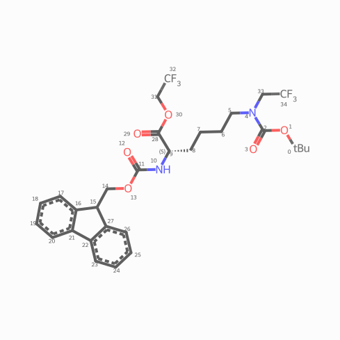 CC(C)(C)OC(=O)N(CCCC[C@H](NC(=O)OCC1c2ccccc2-c2ccccc21)C(=O)OCC(F)(F)F)CC(F)(F)F